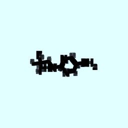 Bc1cnc(NCC(C)(F)F)nc1